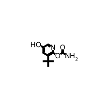 CC(C)(C)c1cc(O)cnc1OC(N)=O